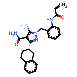 C=CC(=O)Nc1ccccc1Cn1nc([C@H]2CCc3ccccc3C2)c(C(N)=O)c1N